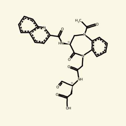 CC(=O)N1C[C@H](NC(=O)c2ccc3ccccc3n2)C(=O)N(CC(=O)N[C@H](C=O)CC(=O)O)c2ccccc21